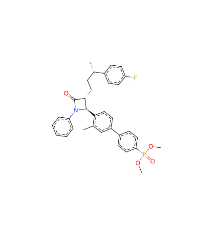 COP(=O)(OC)c1ccc(-c2ccc([C@@H]3[C@@H](CC[C@H](C)c4ccc(F)cc4)C(=O)N3c3ccccc3)c(C)c2)cc1